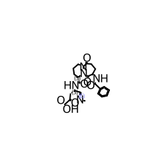 C/N=C/[C@H](CC(=O)C(=O)O)NC(=O)[C@@H]1CCCN2C(=O)CCC(NC(=O)c3ccccc3)C(=O)N12